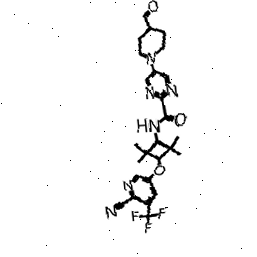 CC1(C)C(NC(=O)c2ncc(N3CCC(C=O)CC3)cn2)C(C)(C)C1Oc1cnc(C#N)c(C(F)(F)F)c1